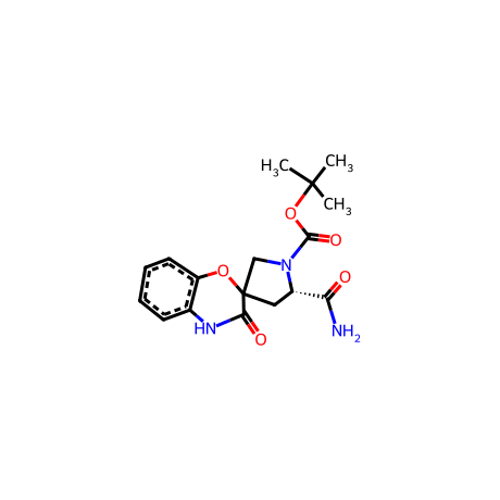 CC(C)(C)OC(=O)N1CC2(C[C@H]1C(N)=O)Oc1ccccc1NC2=O